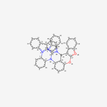 c1ccc(-n2c3ccccc3c3ccccc32)c(N2c3cccc4c3B(c3c(oc5ccccc35)O4)n3c2nc2ccccc23)c1